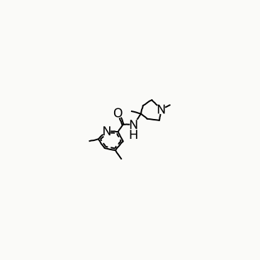 Cc1cc(C)nc(C(=O)NC2(C)CCN(C)CC2)c1